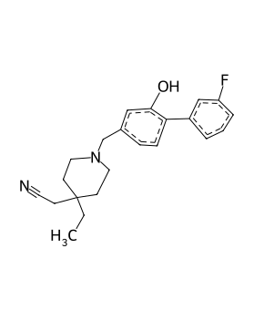 CCC1(CC#N)CCN(Cc2ccc(-c3cccc(F)c3)c(O)c2)CC1